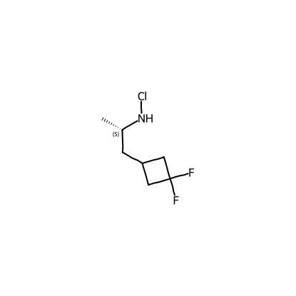 C[C@@H](CC1CC(F)(F)C1)NCl